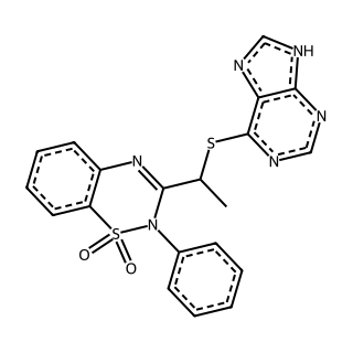 CC(Sc1ncnc2[nH]cnc12)C1=Nc2ccccc2S(=O)(=O)N1c1ccccc1